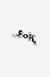 CC(CCC1NC(=O)N([C@H]2CC[C@H](Oc3ncccc3C(N)=O)CC2)C1=O)C(F)(F)F